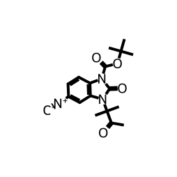 [C-]#[N+]c1ccc2c(c1)n(C(C)(C)C(C)=O)c(=O)n2C(=O)OC(C)(C)C